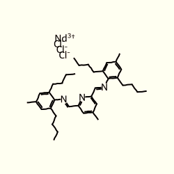 CCCCc1cc(C)cc(CCCC)c1N=Cc1cc(C)cc(C=Nc2c(CCCC)cc(C)cc2CCCC)n1.[Cl-].[Cl-].[Cl-].[Nd+3]